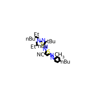 CCCCc1ccc(N=Nc2cc(C#N)c(N=Nc3sc(N(CC(CC)CCCC)CC(CC)CCCC)nc3C(C)(C)C)s2)c(C)c1